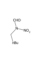 CCCCCN([C]=O)[N+](=O)[O-]